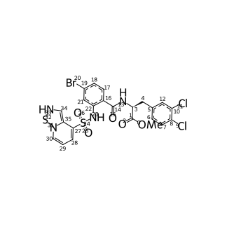 COC(=O)[C@H](Cc1ccc(Cl)c(Cl)c1)NC(=O)c1ccc(Br)cc1NS(=O)(=O)C1=CC=CN2SNC=C12